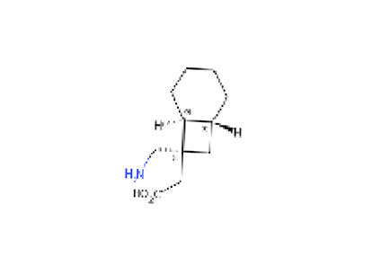 NC[C@@]1(CC(=O)O)C[C@H]2CCCC[C@@H]21